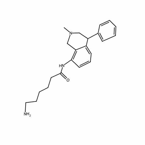 CN1Cc2c(NC(=O)CCCCCN)cccc2C(c2ccccc2)C1